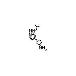 CC(C)CNc1cc(N2CC[C@H](N)C2)ccn1